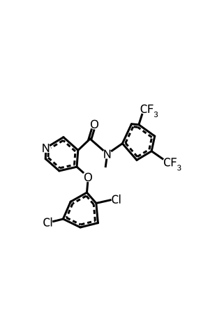 CN(C(=O)c1cnccc1Oc1cc(Cl)ccc1Cl)c1cc(C(F)(F)F)cc(C(F)(F)F)c1